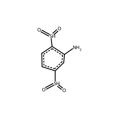 Nc1cc([SH](=O)=O)ccc1[SH](=O)=O